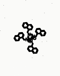 O=C1C2N(Cc3cccc4ccccc34)C3C(=O)C(N2Cc2cccc4ccccc24)N(Cc2cccc4ccccc24)C1N3Cc1cccc2ccccc12